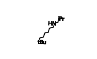 CC(C)CNCCCCCCC(C)(C)C